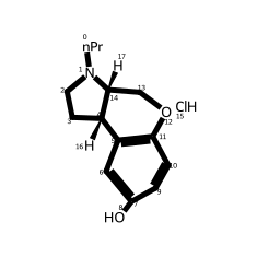 CCCN1CC[C@H]2c3cc(O)ccc3OC[C@H]21.Cl